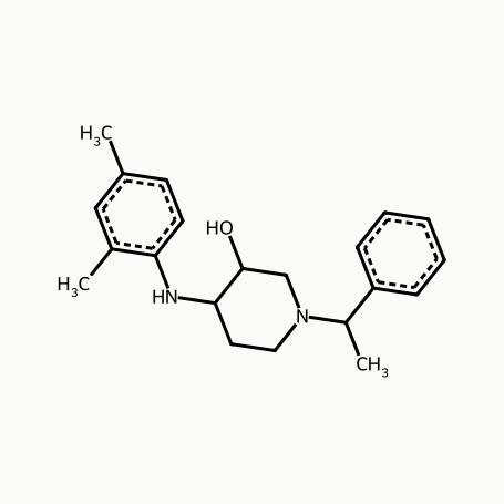 Cc1ccc(NC2CCN(C(C)c3ccccc3)CC2O)c(C)c1